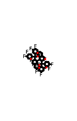 Fc1cc(F)c(C(P)(c2cc(F)c(F)cc2F)c2ccc3ccccc3c2-c2c(C(P)(c3cc(F)c(F)cc3F)c3cc(F)c(F)cc3F)ccc3ccccc23)cc1F